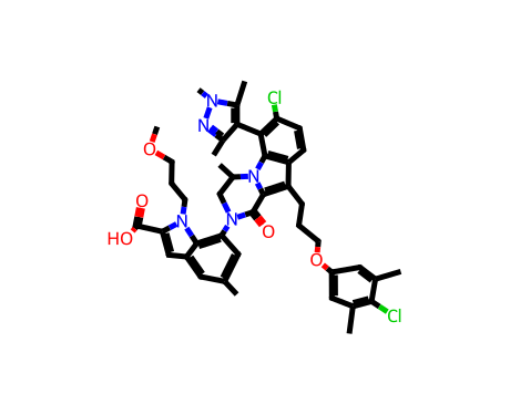 COCCCn1c(C(=O)O)cc2cc(C)cc(N3CC(C)n4c(c(CCCOc5cc(C)c(Cl)c(C)c5)c5ccc(Cl)c(-c6c(C)nn(C)c6C)c54)C3=O)c21